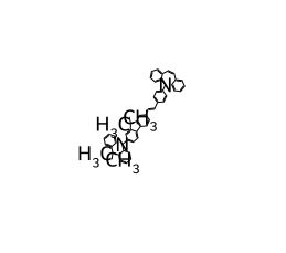 CC1(C)c2cc(/C=C/c3ccc(N4c5ccccc5C=Cc5ccccc54)cc3)ccc2-c2ccc(N3c4ccccc4C(C)(C)C4C=CC=CC43)cc21